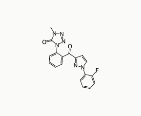 Cn1nnn(-c2ccccc2C(=O)c2ccn(-c3ccccc3F)n2)c1=O